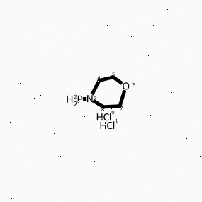 Cl.Cl.PN1CCOCC1